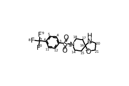 O=S(=O)(c1ccc(C(F)(F)F)cc1)N1CCC2(CC1)NCCO2